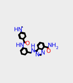 CNC1=CCC(C(=O)NC2=CCCC(CNC3=NC=NC4C(C(N)=O)=CC=CC34)=C2)C=C1